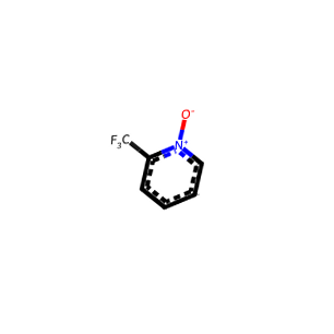 [O-][n+]1c[c]ccc1C(F)(F)F